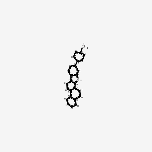 Cc1ccc(-c2ccc3c(c2)sc2c3ccc3c4ccccc4ccc32)cc1